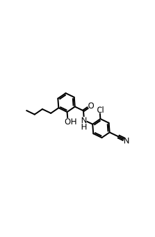 CCCCc1cccc(C(=O)Nc2ccc(C#N)cc2Cl)c1O